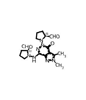 Cc1c2c(=O)n(N3CCC[C@H]3C=O)nc(NN3CCC[C@H]3C=O)c2nn1C